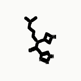 CN(C)CCCN(C(=O)c1c[nH]nn1)C1CNC1